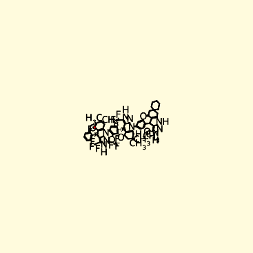 COc1cc(N2C3=C(C(=O)CC(C)(C)C3)[C@H](c3ccc(N4C5=C(C(=O)CC(C)(C)C5)[C@H](c5ccccc5F)c5c4n[nH]c5C(F)(F)F)c(OC(F)(F)F)c3)c3c2n[nH]c3C(F)(F)F)ccc1C1C2=C(CC3(CCCCC3)CC2=O)Nc2n[nH]c(C)c21